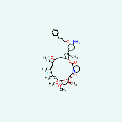 CCC1/C=C(\C)C(F)C(C)CC(OC)C2OC(O)(C(=O)C(=O)N3CCCCC3C(=O)OC(C(C)=CC3CCC(N)C(OCCCc4ccccc4)C3)C(C)CCC1=O)C(C)CC2OC